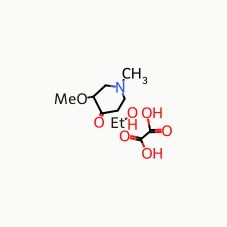 CCO.COC1CN(C)CCC1=O.O=C(O)C(=O)O